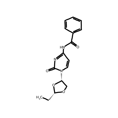 CC[C@H]1OC[C@@H](n2ccc(NC(=O)c3ccccc3)nc2=O)O1